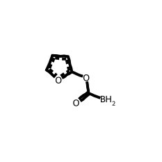 BC(=O)Oc1ccco1